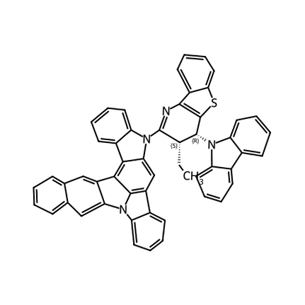 CC[C@@H]1C(n2c3ccccc3c3c4c5cc6ccccc6cc5n5c6ccccc6c(cc32)c45)=Nc2c(sc3ccccc23)[C@@H]1n1c2ccccc2c2ccccc21